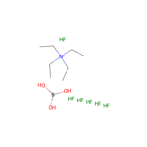 CC[N+](CC)(CC)CC.F.F.F.F.F.F.OB(O)O